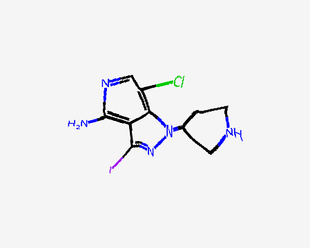 Nc1ncc(Cl)c2c1c(I)nn2C1CCNC1